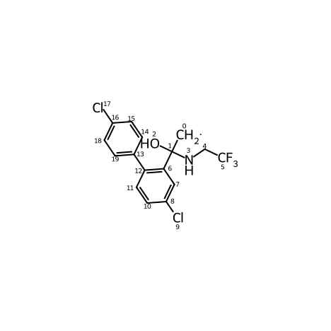 [CH2]C(O)(NCC(F)(F)F)c1cc(Cl)ccc1-c1ccc(Cl)cc1